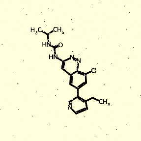 CCc1ccncc1-c1cc(Cl)c2nnc(NC(=O)NC(C)C)cc2c1